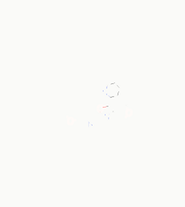 CC(C)OCCN1CCCN(C2(C(=O)c3ccccn3)CCOC(C)(C)C2)CC1